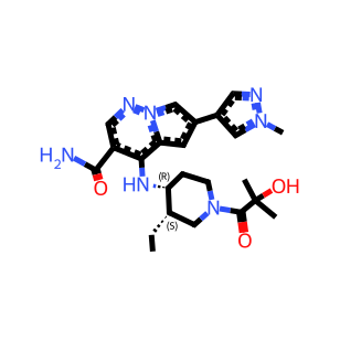 CC[C@H]1CN(C(=O)C(C)(C)O)CC[C@H]1Nc1c(C(N)=O)cnn2cc(-c3cnn(C)c3)cc12